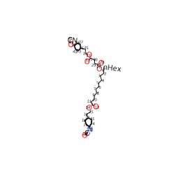 CCCCCC[C@H](CCCCCCCCCCC(=O)OCCc1ccc(N=C=O)cc1)OC(=O)CCC(=O)OCCc1ccc(OC#N)cc1